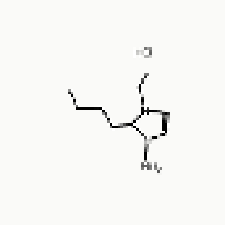 CCCCC1N(N)C=CN1CC.Cl